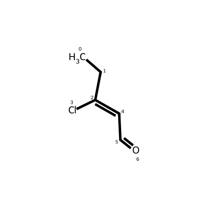 CCC(Cl)=CC=O